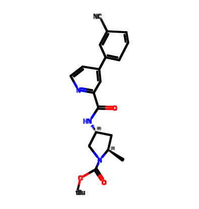 C[C@@H]1C[C@@H](NC(=O)c2cc(-c3cccc(C#N)c3)ccn2)CN1C(=O)OC(C)(C)C